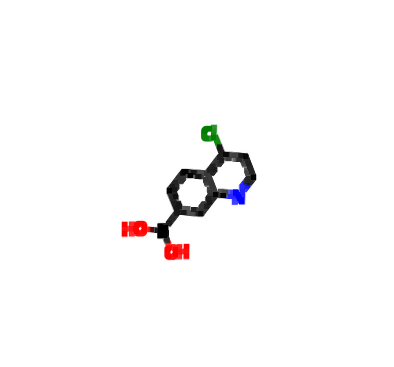 OB(O)c1ccc2c(Cl)ccnc2c1